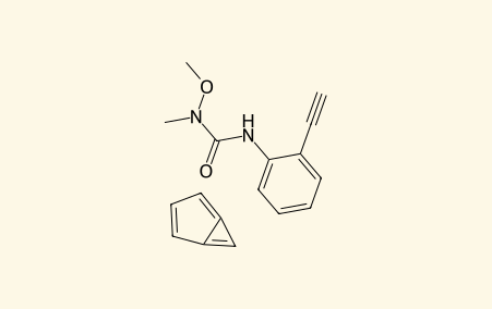 C#Cc1ccccc1NC(=O)N(C)OC.c1cc2cc-2c1